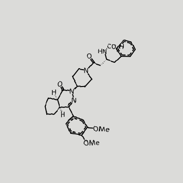 COc1ccc(C2=NN(C3CCN(C(=O)C[C@@H](Cc4ccccc4)NC(=O)O)CC3)C(=O)[C@@H]3CCCC[C@H]23)cc1OC